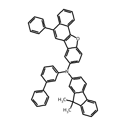 CC1(C)c2ccccc2-c2ccc(N(c3cccc(-c4ccccc4)c3)c3ccc4oc5c6ccccc6c(-c6ccccc6)cc5c4c3)cc21